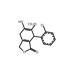 CCOC(=O)C1=C(O)CC2=C(C(=O)OC2)C1c1ccccc1Cl